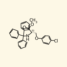 COC(=O)[C@H](COc1ccc(Cl)cc1)NC(c1ccccc1)(c1ccccc1)c1ccccc1